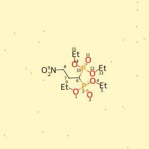 CCOP(=O)(OCC)C(CC[N+](=O)[O-])P(=O)(OCC)OCC